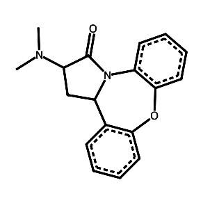 CN(C)C1CC2c3ccccc3Oc3ccccc3N2C1=O